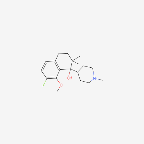 COc1c(F)ccc2c1C(O)(C1CCN(C)CC1)C(C)(C)CC2